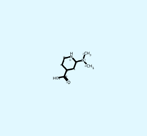 CN(C)C1CC(C(=O)O)CCN1